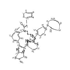 O=C(Cc1ccccc1)Nc1cccc(-c2nc3n(c2-c2ccnc(Nc4ccc(C5CCCCC5)cc4)n2)CCS3)c1